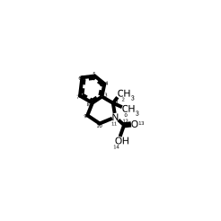 CC1(C)c2ccccc2CCN1C(=O)O